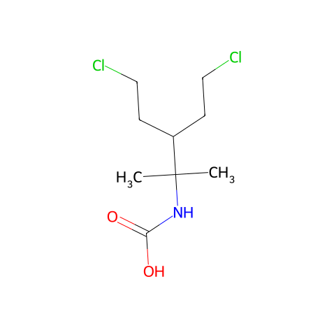 CC(C)(NC(=O)O)C(CCCl)CCCl